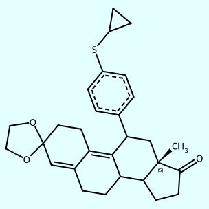 C[C@]12CC(c3ccc(SC4CC4)cc3)C3=C4CCC5(C=C4CCC3C1CCC2=O)OCCO5